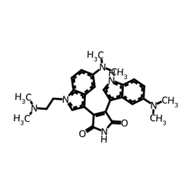 CN(C)CCn1cc(C2=C(c3c[nH]c4ccc(N(C)C)cc34)C(=O)NC2=O)c2cc(N(C)C)ccc21